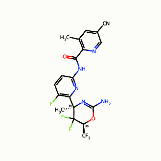 Cc1cc(C#N)cnc1C(=O)Nc1ccc(F)c([C@@]2(C)N=C(N)O[C@@H](C(F)(F)F)C2(F)F)n1